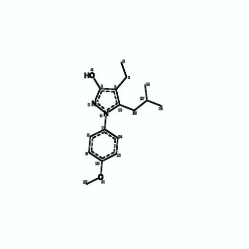 CCc1c(O)nn(-c2ccc(OC)cc2)c1CC(C)C